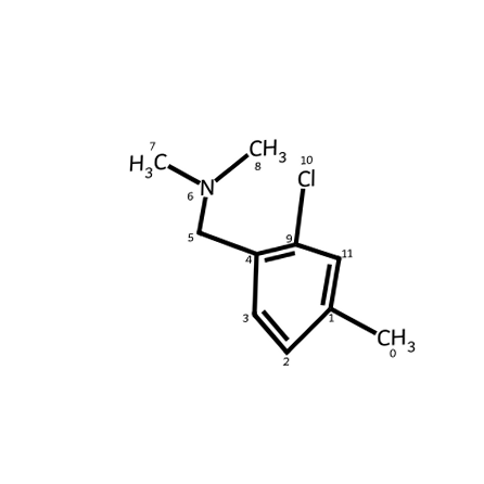 Cc1ccc(CN(C)C)c(Cl)c1